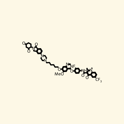 COc1cc2c(Oc3ccc(NC(=O)c4c(C)n(C)c5ccc(C(F)(F)F)cc5c4=O)cc3F)ncnc2cc1OCCCCCCN1CCN(c2ccc3c(c2)CN(C2CCC(=O)CC2=O)C3=O)CC1